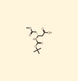 COC(=O)C[C@H](CC(=O)O)NC(=O)OC(C)(C)C